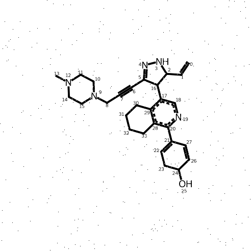 C=CC1NN=C(C#CCN2CCN(C)CC2)C1c1cnc(C2=CCC(O)C=C2)c2c1CCCC2